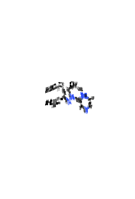 CCOC(=O)c1c(C)nn(-c2cnccn2)c1C